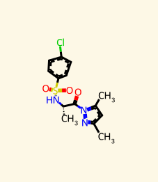 Cc1cc(C)n(C(=O)[C@H](C)NS(=O)(=O)c2ccc(Cl)cc2)n1